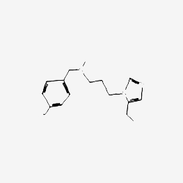 CCN(CCCn1cncc1CO)Cc1ccc(Cl)cc1